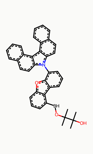 CC(C)(O)C(C)(C)OBc1cccc2oc3c(-n4c5ccc6ccccc6c5c5c6ccccc6ccc54)cccc3c12